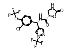 O=C1NC[C@@H](C(=O)N[C@@H](c2ccc(OC(F)(F)F)c(Cl)c2)c2cnn(C(F)(F)F)c2)O1